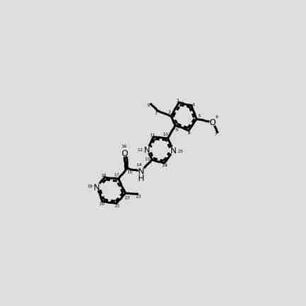 CCc1ccc(OC)cc1-c1cnc(NC(=O)c2cnccc2C)cn1